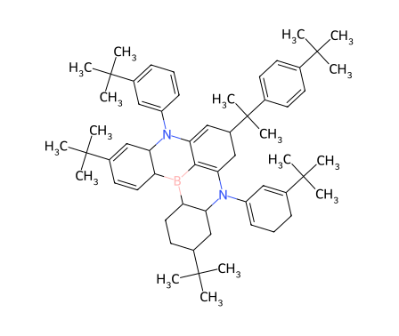 CC(C)(C)C1=CC2C(C=C1)B1C3=C(CC(C(C)(C)c4ccc(C(C)(C)C)cc4)C=C3N2c2cccc(C(C)(C)C)c2)N(C2=CCCC(C(C)(C)C)=C2)C2CC(C(C)(C)C)CCC12